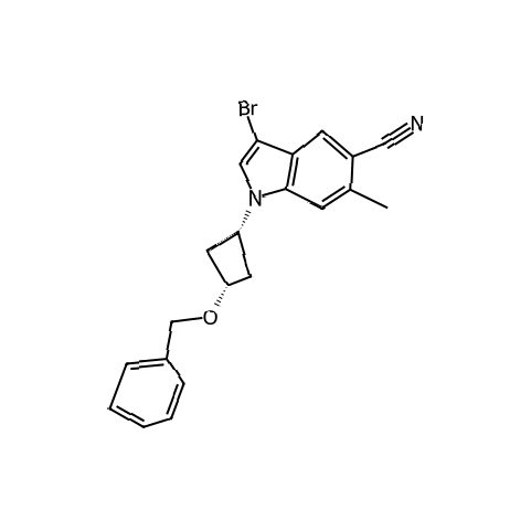 Cc1cc2c(cc1C#N)c(Br)cn2[C@H]1C[C@@H](OCc2ccccc2)C1